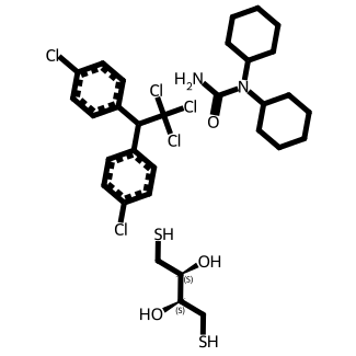 Clc1ccc(C(c2ccc(Cl)cc2)C(Cl)(Cl)Cl)cc1.NC(=O)N(C1CCCCC1)C1CCCCC1.O[C@H](CS)[C@H](O)CS